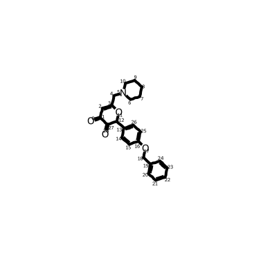 O=C1C=C(CN2CCCCC2)OC(c2ccc(OCc3ccccc3)cc2)C1=O